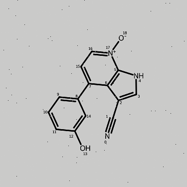 N#Cc1c[nH]c2c1c(-c1cccc(O)c1)cc[n+]2[O-]